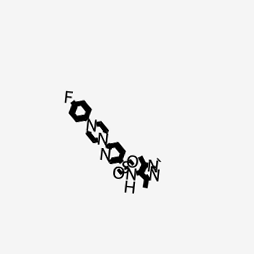 Cc1nn(C)c(C)c1NS(=O)(=O)c1ccc(N2CCN(c3ccc(F)cc3)CC2)nc1